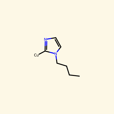 CCCCn1ccn[c]1[Cu]